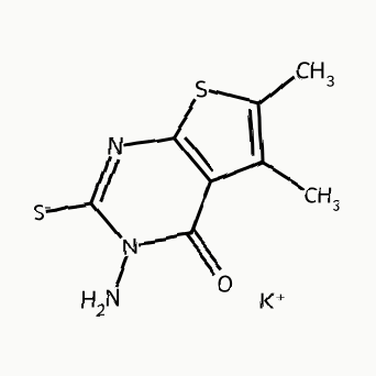 Cc1sc2nc([S-])n(N)c(=O)c2c1C.[K+]